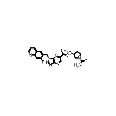 C/C(=N\O[C@H]1CCN(C(N)=O)C1)c1cnc2nnn(Cc3cc4cccnc4cc3F)c2n1